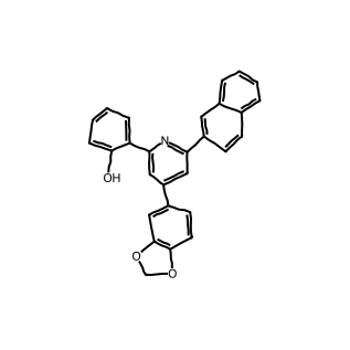 Oc1ccccc1-c1cc(-c2ccc3c(c2)OCO3)cc(-c2ccc3ccccc3c2)n1